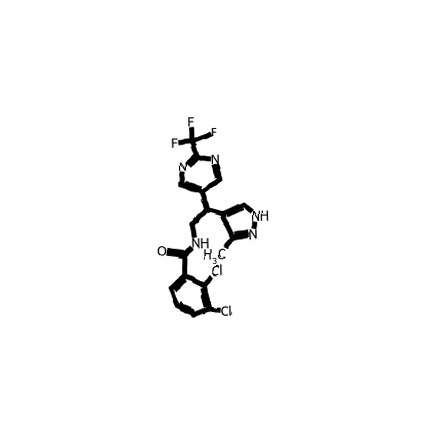 Cc1n[nH]cc1C(CNC(=O)c1cccc(Cl)c1Cl)c1cnc(C(F)(F)F)nc1